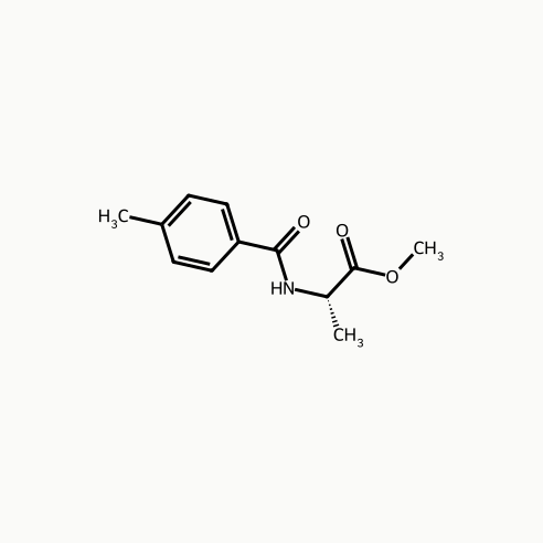 COC(=O)[C@H](C)NC(=O)c1ccc(C)cc1